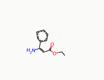 CCOC(=O)/C=C(/N)c1ccccc1